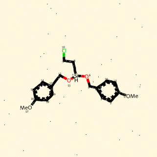 COc1ccc(CO[SiH](CCCl)OCc2ccc(OC)cc2)cc1